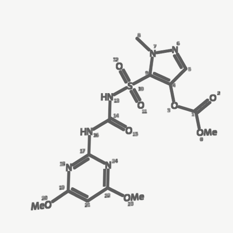 COC(=O)Oc1cnn(C)c1S(=O)(=O)NC(=O)Nc1nc(OC)cc(OC)n1